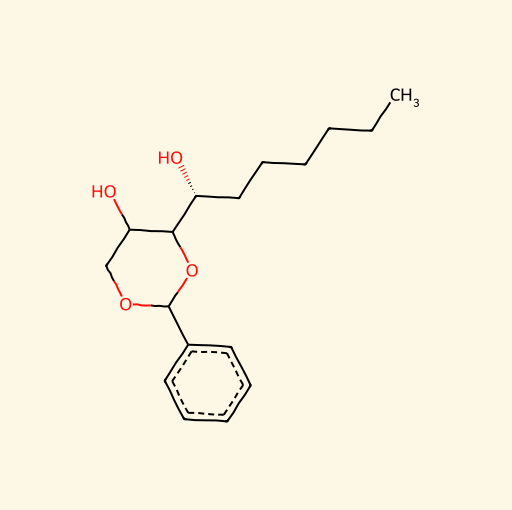 CCCCCC[C@@H](O)C1OC(c2ccccc2)OCC1O